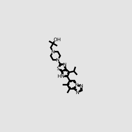 Cc1c(-c2[nH]c3sc(N4CCN(CC(C)(C)O)CC4)nc3c2C(C)C)cn2ncnc2c1C